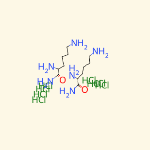 Cl.Cl.Cl.Cl.Cl.Cl.Cl.Cl.NCCCCC(N)C(N)=O.NCCCCC(N)C(N)=O